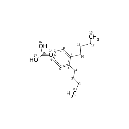 CCCCc1ccccc1CCCC.O=C(O)O